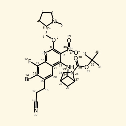 CN1CCC[C@H]1COc1nc2c(F)c(Br)c(CCC#N)cc2c(NC2C3CC2N(C(=O)OC(C)(C)C)C3)c1[N+](=O)[O-]